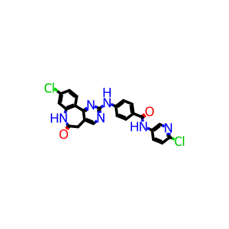 O=C1Cc2cnc(Nc3ccc(C(=O)Nc4ccc(Cl)nc4)cc3)nc2-c2ccc(Cl)cc2N1